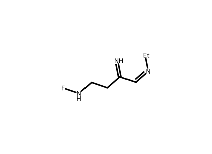 CC/N=C\C(=N)CCNF